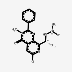 C[C@@H](N[S@+]([O-])C(C)(C)C)c1nc(Cl)cc2c(=O)n(C)c(-c3ccccc3)nc12